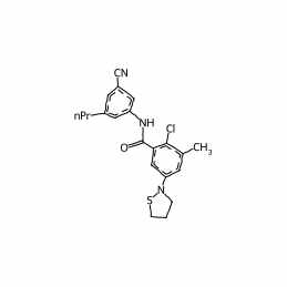 CCCc1cc(C#N)cc(NC(=O)c2cc(N3CCCS3)cc(C)c2Cl)c1